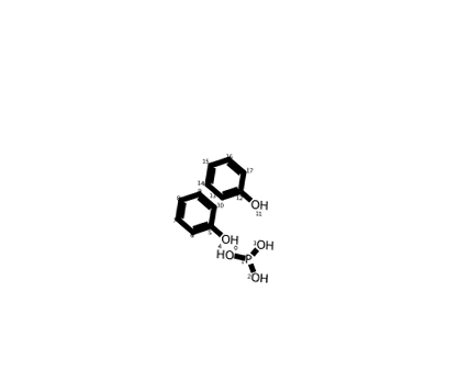 OP(O)O.Oc1ccccc1.Oc1ccccc1